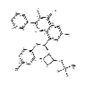 Cc1cc([C@@H](C)Nc2ccc(Cl)nc2N2CC(O[Si](C)(C)C(C)(C)C)C2)c2oc(-c3cccnc3)c(C)c(=O)c2c1